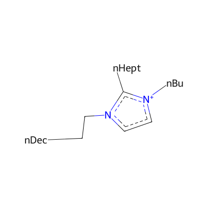 CCCCCCCCCCCCn1cc[n+](CCCC)c1CCCCCCC